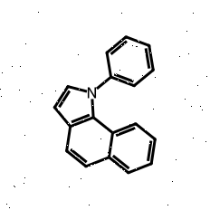 c1ccc(-n2ccc3ccc4ccccc4c32)cc1